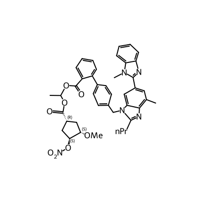 CCCc1nc2c(C)cc(-c3nc4ccccc4n3C)cc2n1Cc1ccc(-c2ccccc2C(=O)OC(C)OC(=O)[C@@H]2C[C@H](OC)[C@@H](O[N+](=O)[O-])C2)cc1